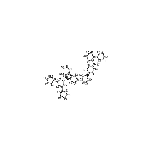 C1=Cc2c(n(-c3cc(-c4ccccc4)cc(-c4ccccc4)c3)c3ccc(-c4cccc(-c5ccc(C(Cc6ccccc6)c6ccccc6)cc5)c4)cc23)CC1